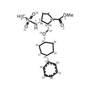 COC(=O)N1CC[C@@H](NS(C)(=O)=O)[C@H]1CO[C@H]1CC[C@@H](c2ccccc2)CC1